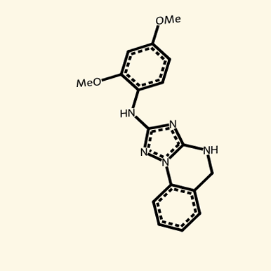 COc1ccc(Nc2nc3n(n2)-c2ccccc2CN3)c(OC)c1